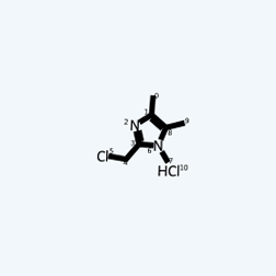 Cc1nc(CCl)n(C)c1C.Cl